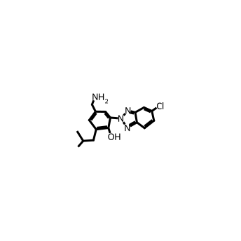 CC(C)Cc1cc(CN)cc(-n2nc3ccc(Cl)cc3n2)c1O